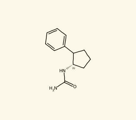 NC(=O)N[C@H]1CCCC1c1ccccc1